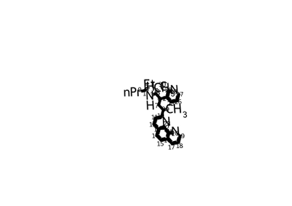 CCCC(CC)NC(C)C(CC(C)c1ccc2ccc3cccnc3c2n1)c1cccnc1C